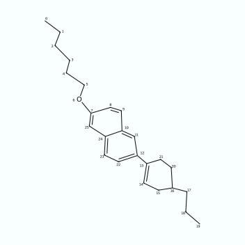 CCCCCCOc1ccc2cc(C3=CCC(CCC)CC3)ccc2c1